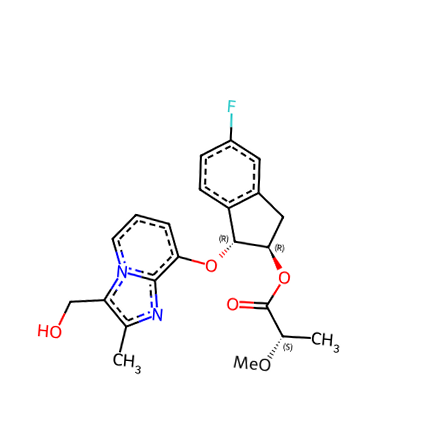 CO[C@@H](C)C(=O)O[C@@H]1Cc2cc(F)ccc2[C@H]1Oc1cccn2c(CO)c(C)nc12